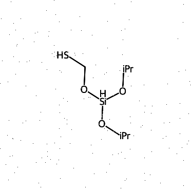 CC(C)O[SiH](OCS)OC(C)C